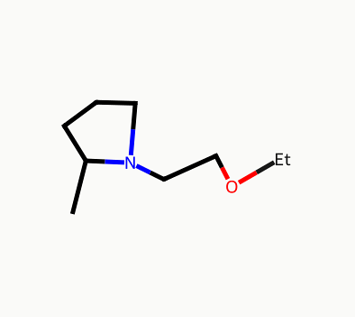 CCOCCN1CCCC1C